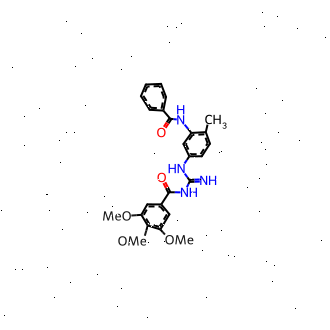 COc1cc(C(=O)NC(=N)Nc2ccc(C)c(NC(=O)c3ccccc3)c2)cc(OC)c1OC